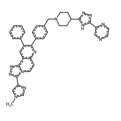 Cn1cnc(-c2nnc3c4cc(-c5ccccc5)c(-c5ccc(CN6CCC(c7nnc(-c8cnccn8)[nH]7)CC6)cc5)nc4ccn23)c1